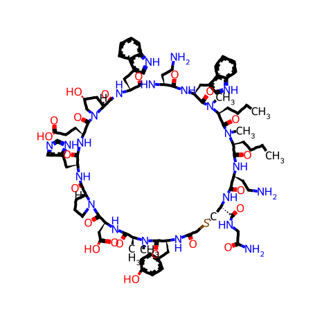 CCCC[C@H]1C(=O)N(C)[C@@H](CCCC)C(=O)N[C@@H](CCN)C(=O)N[C@H](C(=O)NCC(N)=O)CSCC(=O)N[C@@H](Cc2ccc(O)cc2)C(=O)N(C)[C@@H](C)C(=O)N[C@@H](CC(=O)O)C(=O)N2CCC[C@H]2C(=O)N[C@@H](Cc2cnc[nH]2)C(=O)N[C@@H](CCC(=O)O)C(=O)N2C[C@H](O)C[C@H]2C(=O)N[C@@H](Cc2c[nH]c3ccccc23)C(=O)N[C@@H](CCN)C(=O)N[C@@H](Cc2c[nH]c3ccccc23)C(=O)N1C